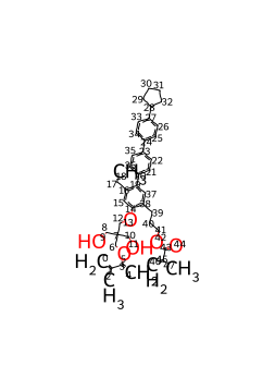 C=C(C)C(=C)OCC(CO)(CO)COc1cc(CC)c(-c2ccc(-c3ccc(C4CCCC4)cc3)cc2)cc1CCCOC(=O)C(=C)C